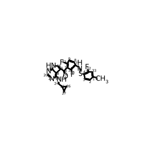 Cc1ccc(SNc2ccc(F)c(C(=O)c3c[nH]c4ncnc(NCC5CC5)c34)c2F)c(F)c1